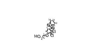 O=C(O)COc1ccc(S(=O)(=O)c2ccccc2)c(Cl)c1Cl